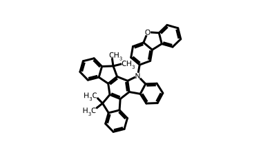 CC1(C)c2ccccc2-c2c1c1c(c3c2c2ccccc2n3-c2ccc3oc4ccccc4c3c2)C(C)(C)c2ccccc2-1